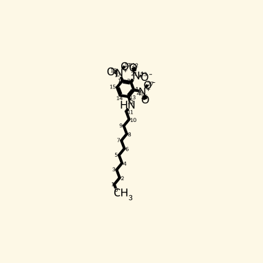 CCCCCCCCCCCCNc1ccc([N+](=O)[O-])c([N+](=O)[O-])c1[N+](=O)[O-]